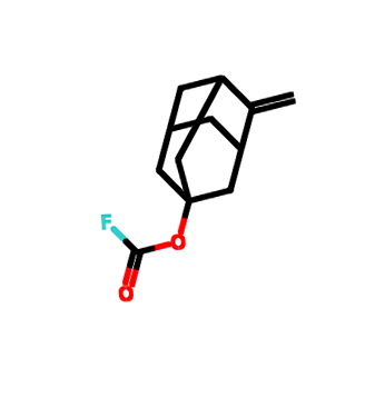 C=C1C2CC3CC1CC(OC(=O)F)(C3)C2